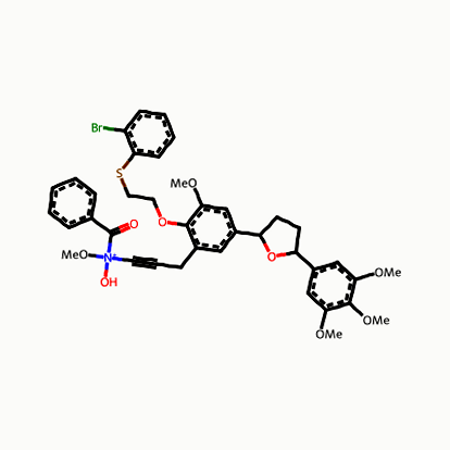 COc1cc(C2CCC(c3cc(OC)c(OC)c(OC)c3)O2)cc(CC#C[N+](O)(OC)C(=O)c2ccccc2)c1OCCSc1ccccc1Br